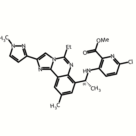 CCc1nc2c([C@@H](C)Nc3ccc(Cl)nc3C(=O)OC)cc(C)cc2c2nc(-c3ccn(C)n3)cn12